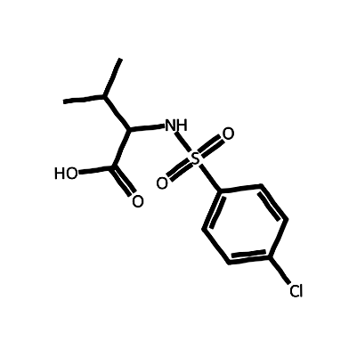 CC(C)C(NS(=O)(=O)c1ccc(Cl)cc1)C(=O)O